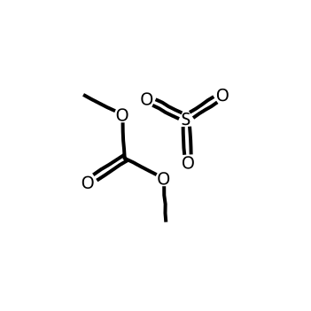 COC(=O)OC.O=S(=O)=O